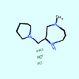 CN1CCNC(CN2CCCC2)C1.Cl.Cl.Cl